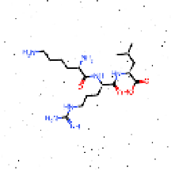 CC(C)C[C@H](NC(=O)[C@@H](CCCNC(=N)N)NC(=O)[C@H](N)CCCCN)C(=O)O